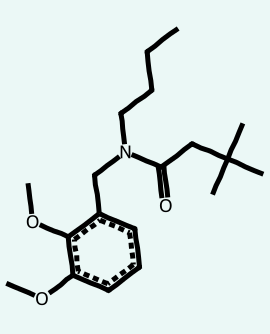 CCCCN(Cc1cccc(OC)c1OC)C(=O)CC(C)(C)C